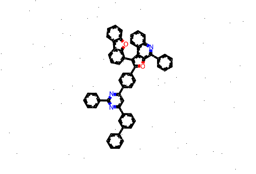 c1ccc(-c2cccc(-c3cc(-c4ccc(-c5oc6c(-c7ccccc7)nc7ccccc7c6c5-c5cccc6c5oc5ccccc56)cc4)nc(-c4ccccc4)n3)c2)cc1